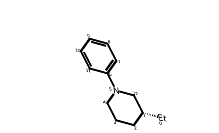 CC[C@@H]1CCCN(c2ccccc2)C1